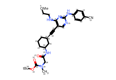 COCCNc1nc(Nc2ccc(C#N)cc2)ncc1C#C[C@@H]1CCC[C@H](NC(=O)CN(C)C(=O)OC(C)(C)C)C1